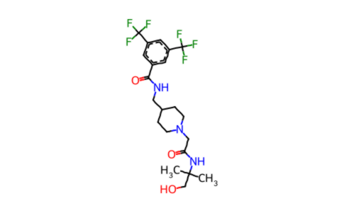 CC(C)(CO)NC(=O)CN1CCC(CNC(=O)c2cc(C(F)(F)F)cc(C(F)(F)F)c2)CC1